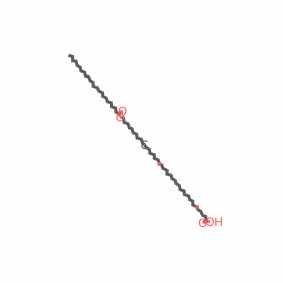 CCCCCCCCC=CCCCCCCCCCCCCCC(=O)OCCCCCCCCCCCCCCCCCCCCCCCCCCCCCCCCCCCCCCCC(=O)O